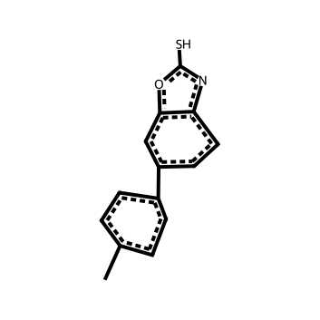 Cc1ccc(-c2ccc3nc(S)oc3c2)cc1